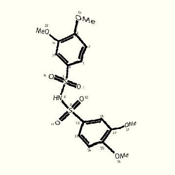 COc1ccc(S(=O)(=O)NS(=O)(=O)c2ccc(OC)c(OC)c2)cc1OC